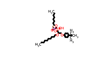 CCCCCCCCCCOC(COc1ccc(C(C)(C)C)cc1)COP(=O)(SCCCCCCCC)C(=O)OO